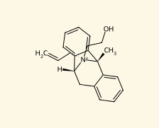 C=CC[N@@+]1(CCO)[C@@H]2Cc3ccccc3[C@@]1(C)c1ccccc12